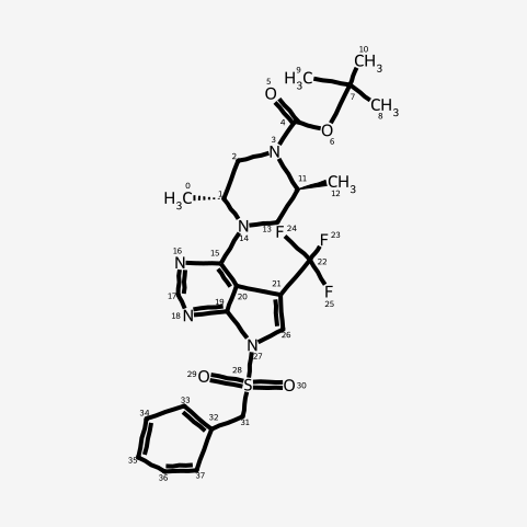 C[C@@H]1CN(C(=O)OC(C)(C)C)[C@@H](C)CN1c1ncnc2c1c(C(F)(F)F)cn2S(=O)(=O)Cc1ccccc1